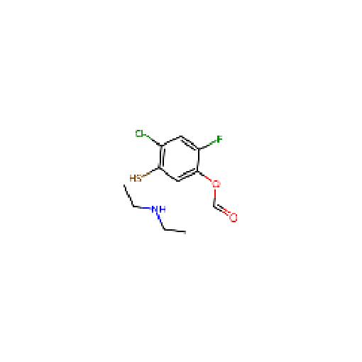 CCNCC.O=COc1cc(S)c(Cl)cc1F